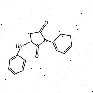 O=C1CC(Nc2ccccc2)C(=O)N1C1=CC=CCC1